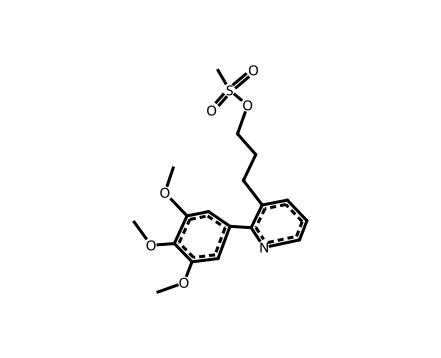 COc1cc(-c2ncccc2CCCOS(C)(=O)=O)cc(OC)c1OC